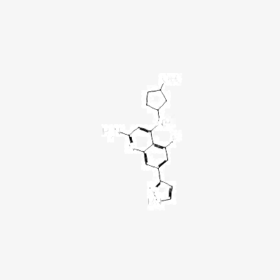 Nc1cc(NC2CCC(O)C2)c2c(F)cc(-c3cc[nH]n3)cc2n1